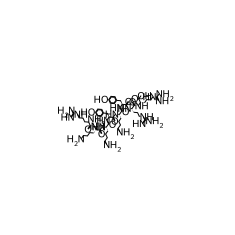 N=C(N)NCCC[C@H](NC(=O)[C@H](CCCNC(=N)N)NC(=O)[C@H](Cc1ccc(O)cc1)NC(=O)[C@H](CCCCN)NC(=O)[C@H](Cc1ccc(O)cc1)NC(=O)[C@H](CCCCN)NC(=O)[C@H](CCCCN)NC(=O)[C@@H](N)CCCNC(=N)N)C(=O)O